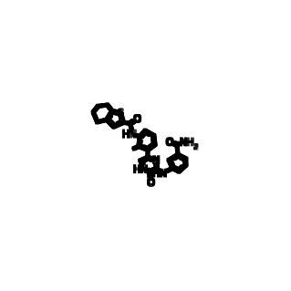 Cc1c(NC(=O)c2cc3c(s2)CCCC3)cccc1-c1c[nH]c(=O)c(Nc2cccc(C(N)=O)c2)n1